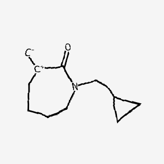 [CH2-][C+]1CCCCN(CC2CC2)C1=O